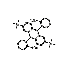 CC(C)(C)c1ccccc1-c1c2ccc([Si](C)(C)C)cc2c(-c2ccccc2C(C)(C)C)c2ccc([Si](C)(C)C)cc12